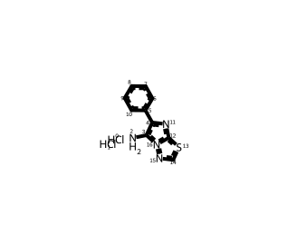 Cl.Cl.Nc1c(-c2ccccc2)nc2scnn12